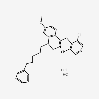 COc1ccc2c(c1)C(CCCCCc1ccccc1)CN=C2Cc1c(Cl)cncc1Cl.Cl.Cl